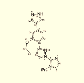 CC(C)n1ncnc1-n1cc2c(n1)-c1ccc(-c3cn[nH]c3)cc1OCC2